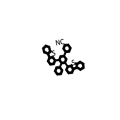 N#Cc1cccc(-c2cc(-c3cccc4c3sc3ccccc34)c(-c3ccccc3)c(-c3cccc4c3sc3ccccc34)c2)c1